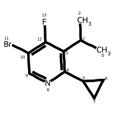 CC(C)c1c(C2CC2)ncc(Br)c1F